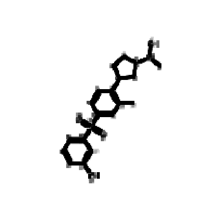 CB(O)N1CCC(c2ccc(S(=O)(=O)c3cccc(O)c3)cc2C)C1